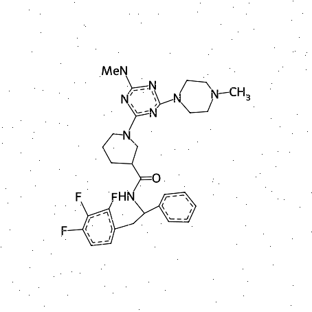 CNc1nc(N2CCN(C)CC2)nc(N2CCCC(C(=O)NC(Cc3ccc(F)c(F)c3F)c3ccccc3)C2)n1